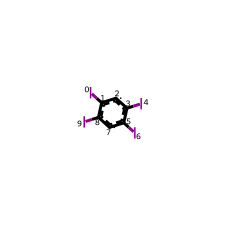 Ic1[c]c(I)c(I)[c]c1I